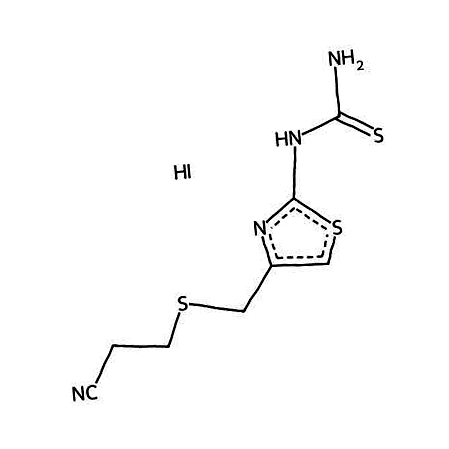 I.N#CCCSCc1csc(NC(N)=S)n1